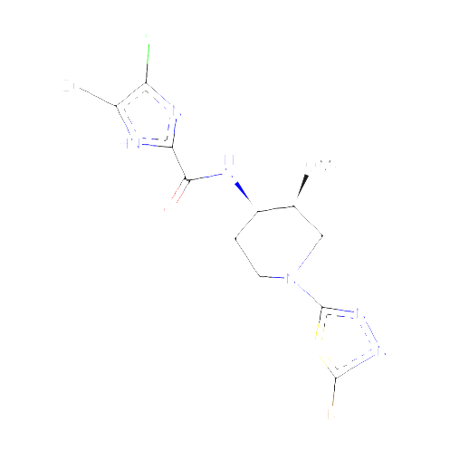 CCc1[nH]c(C(=O)N[C@@H]2CCN(c3nnc(Br)s3)C[C@@H]2OC)nc1Cl